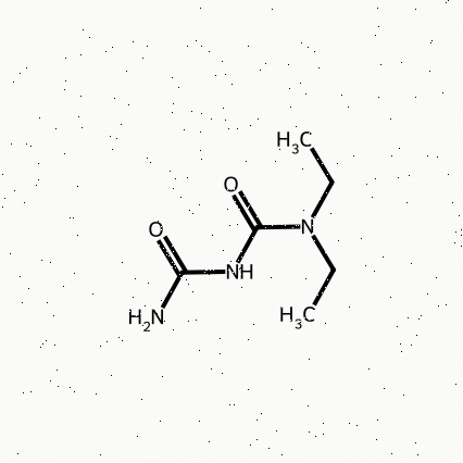 CCN(CC)C(=O)NC(N)=O